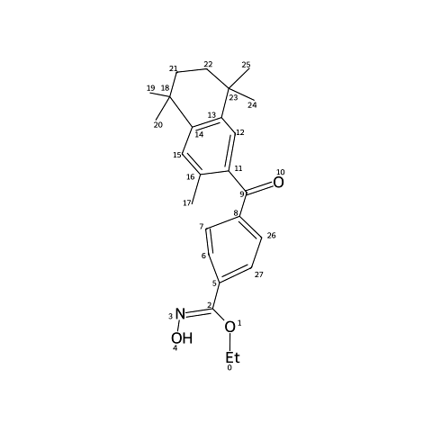 CCOC(=NO)c1ccc(C(=O)c2cc3c(cc2C)C(C)(C)CCC3(C)C)cc1